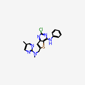 Cc1cnc(N(C)Cc2cc3nc(Cl)nc(Nc4ccccc4)c3s2)nc1